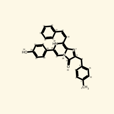 Cc1ccc(Cc2nc3c(/C=C\c4ccccc4)[nH]c(-c4ccc(O)cc4)cn-3c2=O)cc1